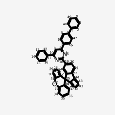 c1ccc(-c2ccc(-c3cc(-c4ccccc4)nc(-c4ccc5c(c4)C4(c6ccccc6Oc6ccccc64)c4ccccc4-5)n3)cc2)cc1